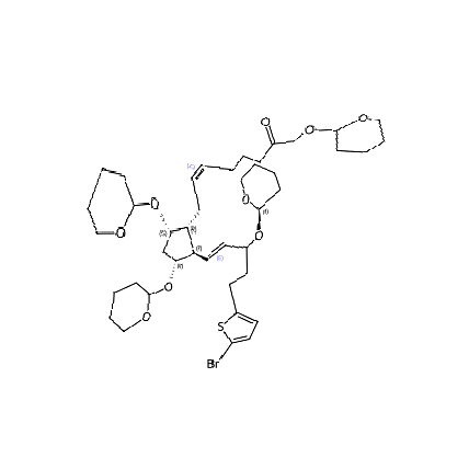 O=C(CCC/C=C\C[C@@H]1[C@@H](/C=C/C(CCc2ccc(Br)s2)O[C@@H]2CCCCO2)[C@H](OC2CCCCO2)C[C@@H]1OC1CCCCO1)COC1CCCCO1